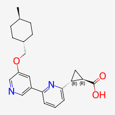 C[C@H]1CC[C@H](COc2cncc(-c3cccc([C@@H]4C[C@H]4C(=O)O)n3)c2)CC1